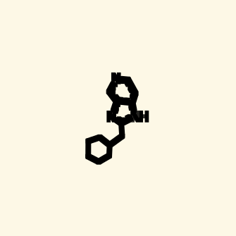 c1cc2[nH]c(CC3CCCCC3)nc2cn1